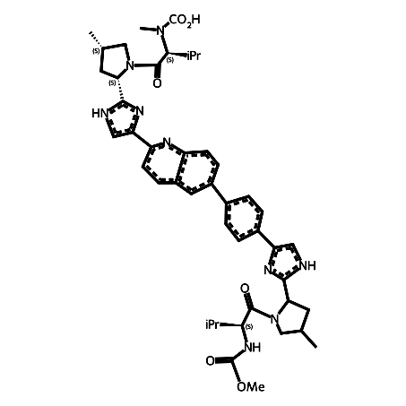 COC(=O)N[C@H](C(=O)N1CC(C)CC1c1nc(-c2ccc(-c3ccc4nc(-c5c[nH]c([C@@H]6C[C@H](C)CN6C(=O)[C@H](C(C)C)N(C)C(=O)O)n5)ccc4c3)cc2)c[nH]1)C(C)C